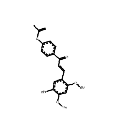 C=C(C)Oc1ccc(C(=O)/C=C/c2cc(CCC)c(OC(C)(C)C)cc2OC(C)(C)C)cc1